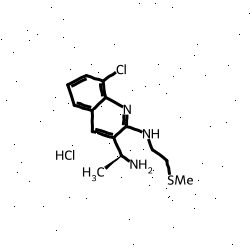 CSCCNc1nc2c(Cl)cccc2cc1[C@H](C)N.Cl